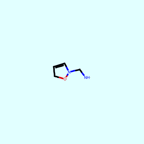 [NH]CN1C=CCO1